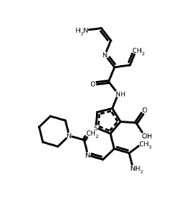 C=C/C(=N\C=C/N)C(=O)Nc1csc(C(/C=N\C(=C)N2CCCCC2)=C(\C)N)c1C(=O)O